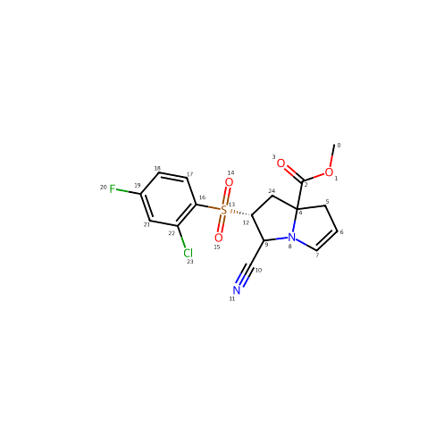 COC(=O)C12CC=CN1C(C#N)[C@H](S(=O)(=O)c1ccc(F)cc1Cl)C2